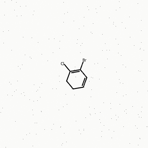 ClC1=C(Br)C=C[CH]C1